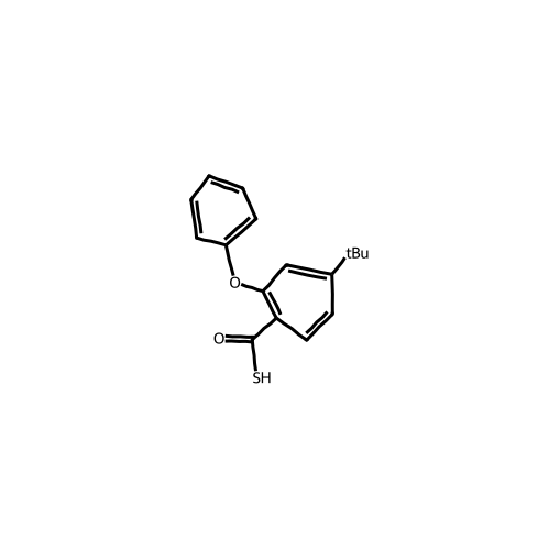 CC(C)(C)c1ccc(C(=O)S)c(Oc2ccccc2)c1